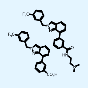 CN(C)CCNC(=O)c1cccc(-c2cccc3cn(Cc4cccc(C(F)(F)F)c4)nc23)c1.O=C(O)c1cccc(-c2cccc3cn(Cc4cccc(C(F)(F)F)c4)nc23)c1